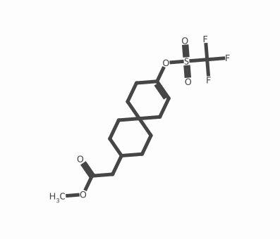 COC(=O)CC1CCC2(CC=C(OS(=O)(=O)C(F)(F)F)CC2)CC1